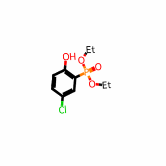 CCOP(=O)(OCC)c1cc(Cl)ccc1O